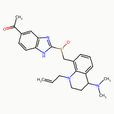 C=CCN1CCC(N(C)C)c2cccc(C[S+]([O-])c3nc4cc(C(C)=O)ccc4[nH]3)c21